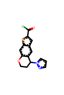 O=C(Cl)c1cc2cc3c(cc2s1)OCCC3n1cccn1